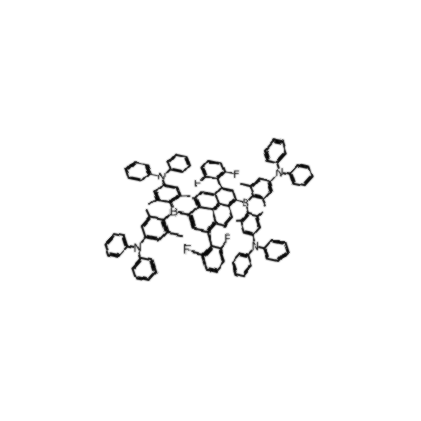 Cc1cc(N(c2ccccc2)c2ccccc2)cc(C)c1B(c1c(C)cc(N(c2ccccc2)c2ccccc2)cc1C)c1cc(-c2c(F)cccc2F)c2ccc3c(B(c4c(C)cc(N(c5ccccc5)c5ccccc5)cc4C)c4c(C)cc(N(c5ccccc5)c5ccccc5)cc4C)cc(-c4c(F)cccc4F)c4ccc1c2c34